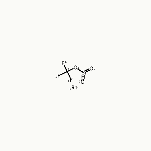 O=[SH](=O)OC(F)(F)F.[Rh]